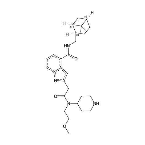 COCCN(C(=O)Cc1cn2c(C(=O)NC[C@@H]3CC[C@@H]4C[C@H]3C4(C)C)cccc2n1)C1CCNCC1